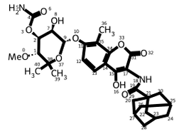 CO[C@@H]1[C@@H](OC(N)=O)[C@@H](O)[C@H](Oc2ccc3c(O)c(NC(=O)C45CC6CC(CC(C6)C4)C5)c(=O)oc3c2C)OC1(C)C